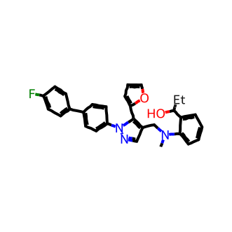 CCC(O)c1ccccc1N(C)Cc1cnn(-c2ccc(-c3ccc(F)cc3)cc2)c1-c1ccco1